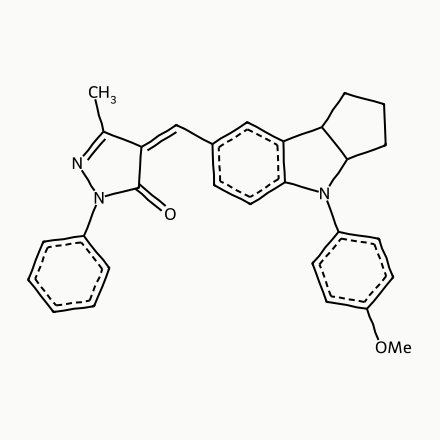 COc1ccc(N2c3ccc(/C=C4\C(=O)N(c5ccccc5)N=C4C)cc3C3CCCC32)cc1